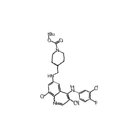 CC(C)(C)OC(=O)N1CCC(CNc2cc(Cl)c3ncc(C#N)c(Nc4ccc(F)c(Cl)c4)c3c2)CC1